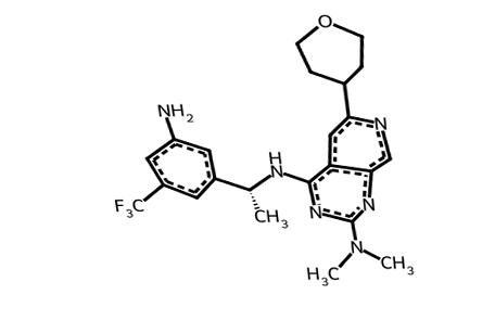 C[C@@H](Nc1nc(N(C)C)nc2cnc(C3CCOCC3)cc12)c1cc(N)cc(C(F)(F)F)c1